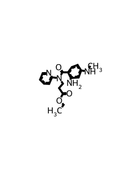 CCOC(=O)CCN(C(=O)c1ccc(NC)cc1N)c1ccccn1